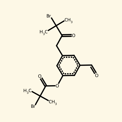 CC(C)(Br)C(=O)Cc1cc(C=O)cc(OC(=O)C(C)(C)Br)c1